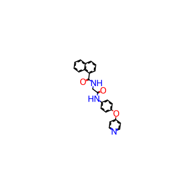 O=C(CNC(=O)c1cccc2ccccc12)Nc1ccc(Oc2ccncc2)cc1